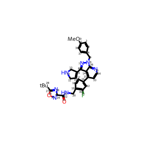 COc1ccc(Cn2nc(C3=CCNC3)c3c(-c4ccc(CNC(=O)c5noc(C(C)(C)C)n5)c(F)c4)ccnc32)cc1